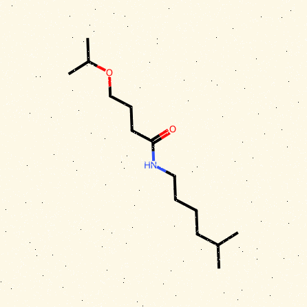 CC(C)CCCCNC(=O)CCCOC(C)C